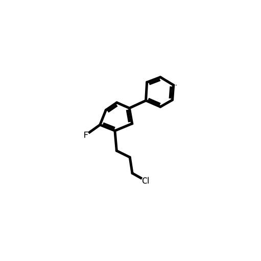 Fc1ccc(-c2cc[c]cc2)cc1CCCCl